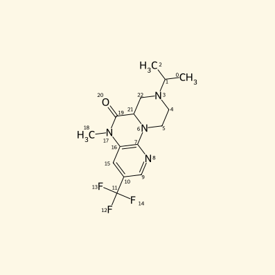 CC(C)N1CCN2c3ncc(C(F)(F)F)cc3N(C)C(=O)C2C1